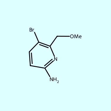 COCc1nc(N)ccc1Br